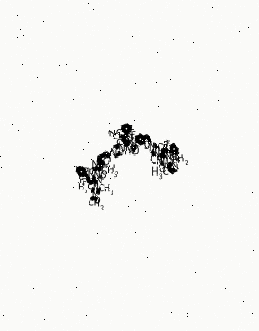 C=CC(=O)N1C[C@H](C)N(c2nc(=O)n(-c3c(C)cc(/C=C\C(=O)N4CCN(c5nc(=O)n(-c6ccc(/C=C\C(=O)N7C[C@H](C)N(c8nc(=O)n(-c9c(C)ccnc9C(C)C)c9nc(-c%10c(N)cccc%10F)c(F)cc89)[C@@H](C)C7)cc6C(C)C)c6nc(-c7c(F)cccc7C#N)c(Cl)cc56)[C@@H](C)C4)nc3C(C)C)c3nc(-c4ccccc4F)c(F)cc23)[C@@H](C)C1